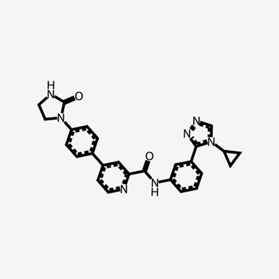 O=C(Nc1cccc(-c2nncn2C2CC2)c1)c1cc(-c2ccc(N3CCNC3=O)cc2)ccn1